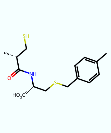 Cc1ccc(CSC[C@@H](NC(=O)[C@H](C)CS)C(=O)O)cc1